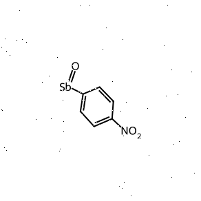 [O]=[Sb][c]1ccc([N+](=O)[O-])cc1